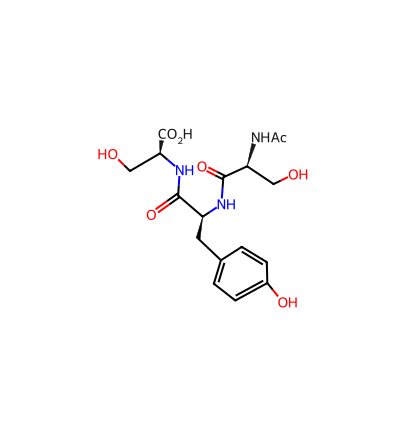 CC(=O)N[C@@H](CO)C(=O)N[C@@H](Cc1ccc(O)cc1)C(=O)N[C@@H](CO)C(=O)O